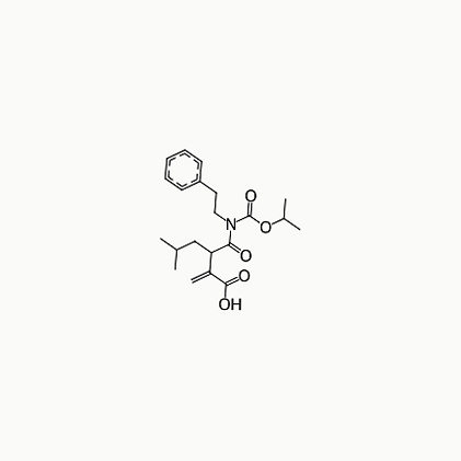 C=C(C(=O)O)C(CC(C)C)C(=O)N(CCc1ccccc1)C(=O)OC(C)C